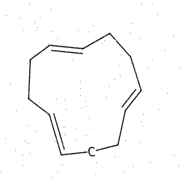 C1=C/CC/C=C/CC/C=C/CC/1